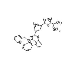 NC(O)c1nnc(-c2cncc(-c3nc(NCc4ccccn4)c4c(-c5ccccc5)cccc4n3)c2)o1